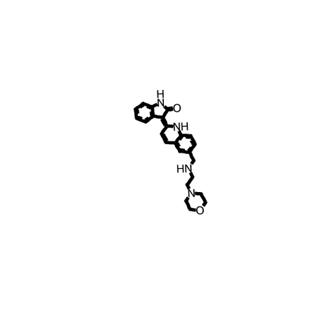 O=C1Nc2ccccc2C1=C1C=Cc2cc(CNCCN3CCOCC3)ccc2N1